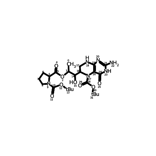 CC(OC(=O)C1CCCN1C(=O)OC(C)(C)C)C(O)C1CNc2nc(N)[nH]c(=O)c2N1C(=O)OC(C)(C)C